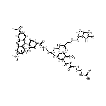 CCC(=O)NCCNC(=O)OC(C)c1cc(CN(CCNC(=O)CCCCC2SCC3NC(=O)NC32)CCNC(=O)c2ccc(-c3c4ccc(=[N+](C)C)cc-4oc4cc(N(C)C)ccc34)c(C(=O)O)c2)ccc1[N+](=O)[O-]